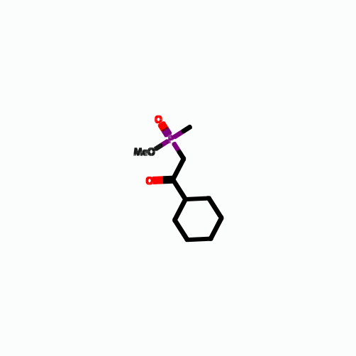 COP(C)(=O)CC(=O)C1CCCCC1